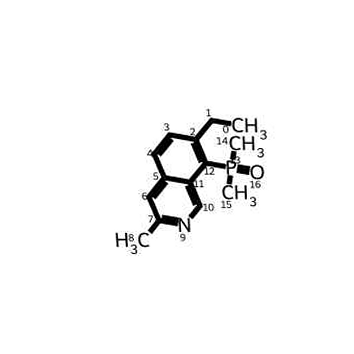 CCc1ccc2cc(C)ncc2c1P(C)(C)=O